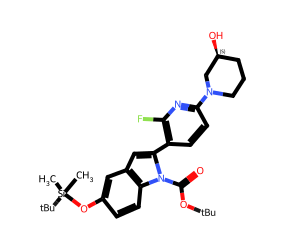 CC(C)(C)OC(=O)n1c(-c2ccc(N3CCC[C@H](O)C3)nc2F)cc2cc(O[Si](C)(C)C(C)(C)C)ccc21